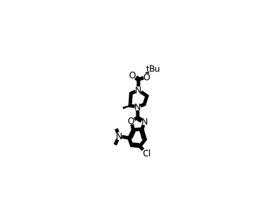 C[C@H]1CN(C(=O)OC(C)(C)C)CCN1c1nc2cc(Cl)cc(N(C)C)c2o1